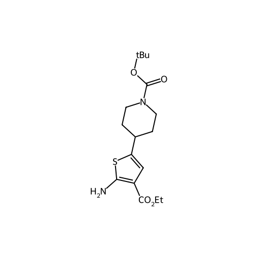 CCOC(=O)c1cc(C2CCN(C(=O)OC(C)(C)C)CC2)sc1N